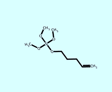 C=CCCCO[Si](OC)(OC)OC